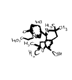 COc1cc2c(c3c1OC(C)(C)C3)C(c1ccc(=O)n(CC(=O)O)c1)=NC(C)(C)C2.Cl